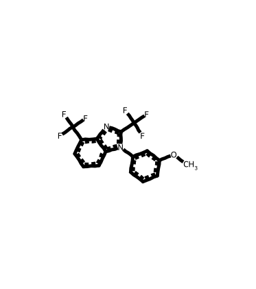 COc1cccc(-n2c(C(F)(F)F)nc3c(C(F)(F)F)cccc32)c1